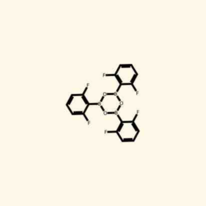 Fc1cccc(F)c1B1OB(c2c(F)cccc2F)OB(c2c(F)cccc2F)O1